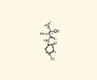 N#C/C(C(=S)Nc1ccc(Cl)cc1Cl)=C(/O)C1CC1